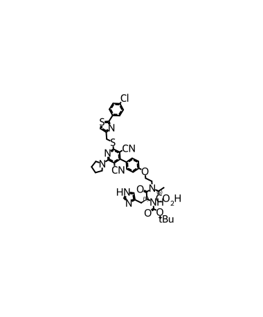 C[C@@H](C(=O)O)N(CCOc1ccc(-c2c(C#N)c(SCc3csc(-c4ccc(Cl)cc4)n3)nc(N3CCCC3)c2C#N)cc1)C(=O)[C@H](Cc1c[nH]cn1)NC(=O)OC(C)(C)C